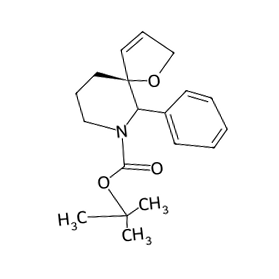 CC(C)(C)OC(=O)N1CCC[C@]2(C=CCO2)C1c1ccccc1